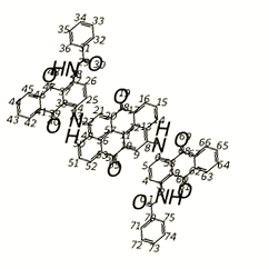 O=C(Nc1ccc(Nc2cc3c4c5c2cccc5c(=O)c2cc(Nc5ccc(NC(=O)c6ccccc6)c6c5C(=O)c5ccccc5C6=O)c5cccc(c3=O)c5c2-4)c2c1C(=O)c1ccccc1C2=O)c1ccccc1